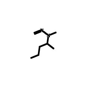 C=NN(C)C(C)CCC